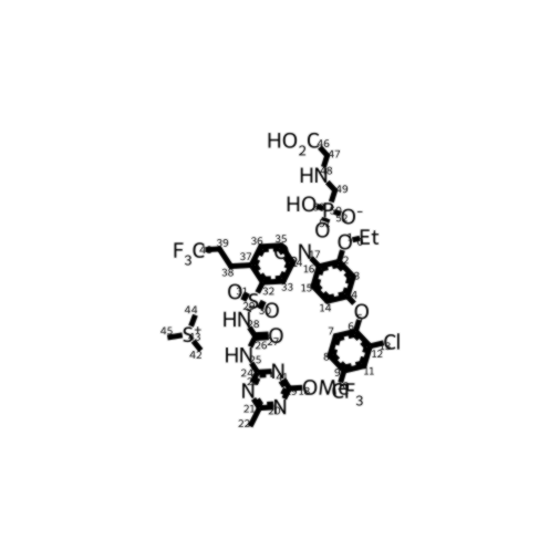 CCOc1cc(Oc2ccc(C(F)(F)F)cc2Cl)ccc1[N+](=O)[O-].COc1nc(C)nc(NC(=O)NS(=O)(=O)c2ccccc2CCC(F)(F)F)n1.C[S+](C)C.O=C(O)CNCP(=O)([O-])O